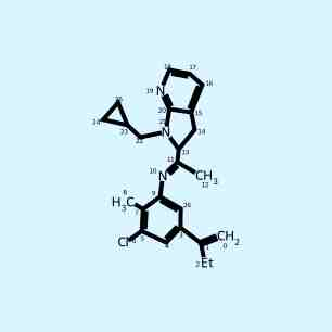 C=C(CC)c1cc(Cl)c(C)c(/N=C(\C)C2Cc3cccnc3N2CC2CC2)c1